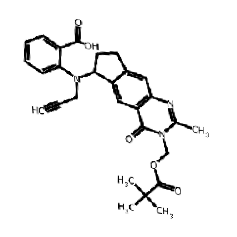 C#CCN(c1ccccc1C(=O)O)C1CCc2cc3nc(C)n(COC(=O)C(C)(C)C)c(=O)c3cc21